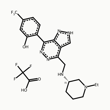 CCN1CCC[C@H](NCc2nnc(-c3ccc(C(F)(F)F)cc3O)c3n[nH]cc23)C1.O=C(O)C(F)(F)F